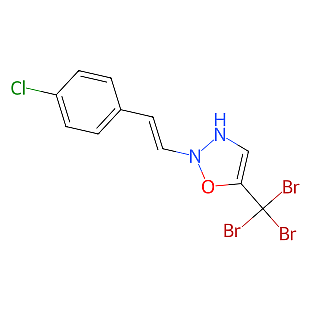 Clc1ccc(/C=C/N2NC=C(C(Br)(Br)Br)O2)cc1